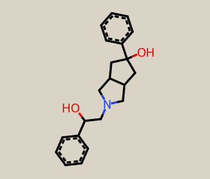 OC(CN1CC2CC(O)(c3ccccc3)CC2C1)c1ccccc1